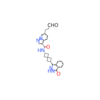 O=CCCc1ccc2c(C(=O)N[C@H]3CC4(C3)C[C@H](c3n[nH]c(=O)c5ccccc53)C4)cnn2c1